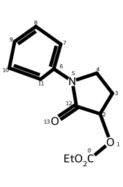 CCOC(=O)OC1CCN(c2ccccc2)C1=O